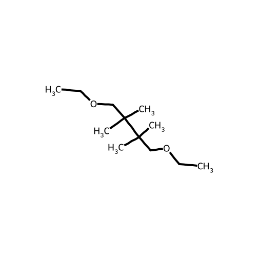 CCOCC(C)(C)C(C)(C)COCC